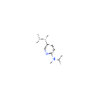 CC(C)C(C)c1ccc(N(C)C(C)C)nc1